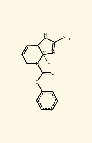 NC1=N[C@@H]2C(C=CCN2C(=O)Oc2ccccc2)N1